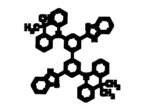 CC1(C)c2ccccc2N(c2cc(-c3cc(-c4nc5ccccc5s4)cc(N4c5ccccc5C(C)(C)c5ccccc54)c3)cc(-c3nc4ccccc4s3)c2)c2ccccc21